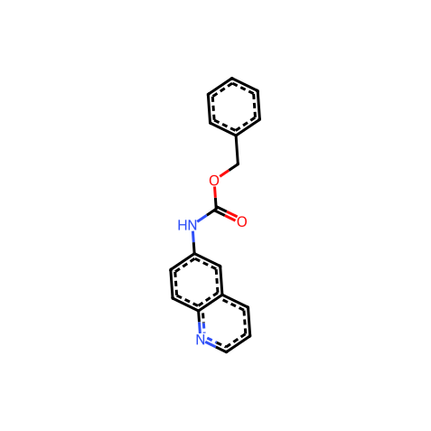 O=C(Nc1ccc2ncccc2c1)OCc1ccccc1